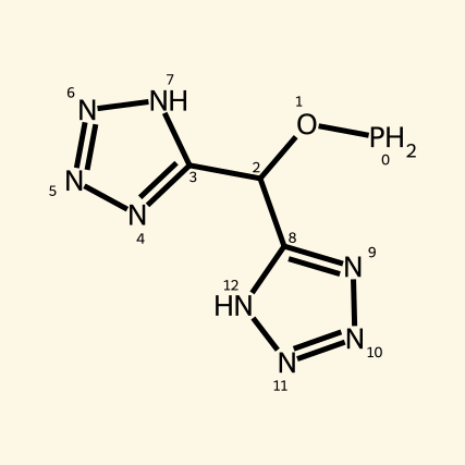 POC(c1nnn[nH]1)c1nnn[nH]1